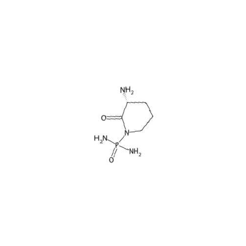 N[C@@H]1CCCN(P(N)(N)=O)C1=O